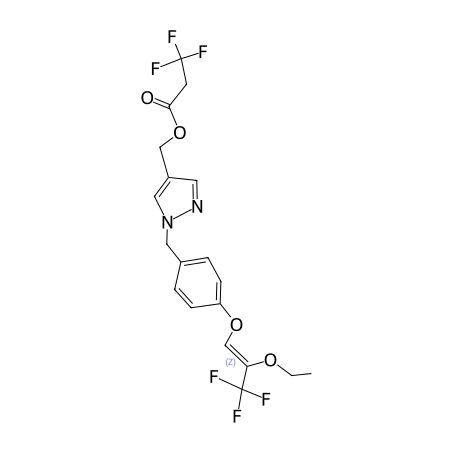 CCO/C(=C\Oc1ccc(Cn2cc(COC(=O)CC(F)(F)F)cn2)cc1)C(F)(F)F